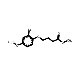 COC(=O)CCCOc1ccc(OC)cc1N